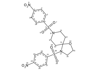 O=[N+]([O-])c1ccc(S(=O)(=O)N2CCC3(CC2)OCCN3S(=O)(=O)c2ccc([N+](=O)[O-])cc2)cc1